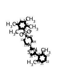 Cc1cc(C)c(C)c(S(=O)(=O)N2CCN(c3nc(-c4c(C)cccc4C)cs3)CC2)c1C